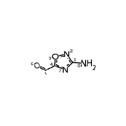 Nc1noc(C=O)n1